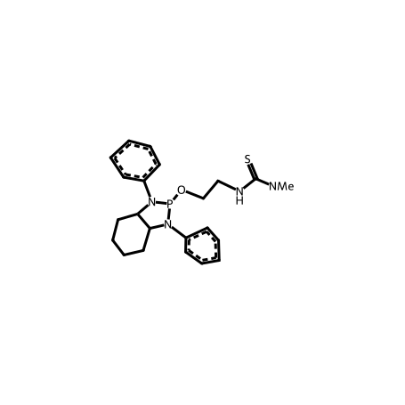 CNC(=S)NCCOP1N(c2ccccc2)C2CCCCC2N1c1ccccc1